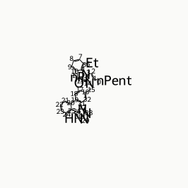 CCCCCc1cn(-c2c(CC)cccc2CCC)c(=O)n1Cc1ccc(-c2ccccc2-c2nnn[nH]2)cc1